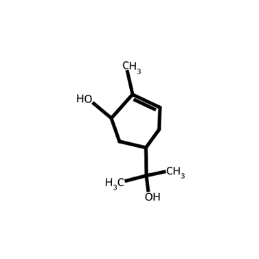 CC1=CCC(C(C)(C)O)CC1O